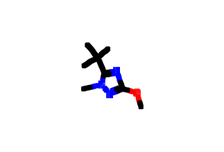 COc1nc(C(C)(C)C)n(C)n1